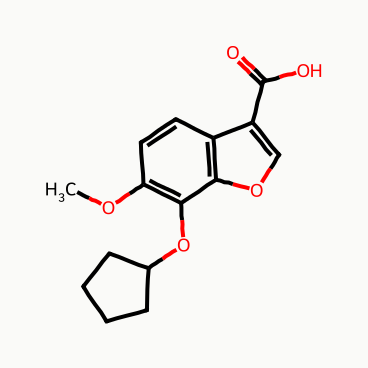 COc1ccc2c(C(=O)O)coc2c1OC1CCCC1